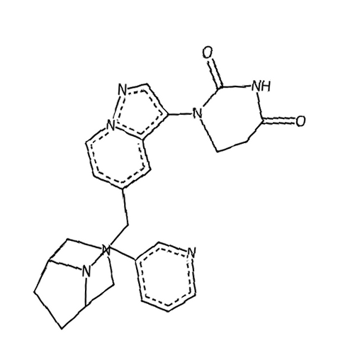 O=C1CCN(c2cnn3ccc(CN4CC5CCC(C4)N5Cc4cccnc4)cc23)C(=O)N1